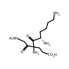 CC(=O)NCC(=O)C(N)(CCC(=O)O)C(=O)[C@@H](N)CCCCN